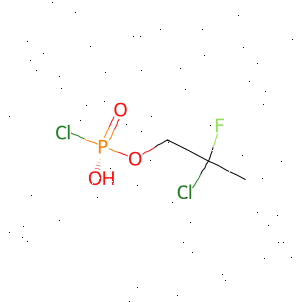 CC(F)(Cl)CO[P@@](=O)(O)Cl